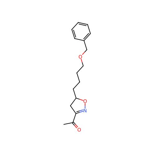 CC(=O)C1=NOC(CCCCOCc2ccccc2)C1